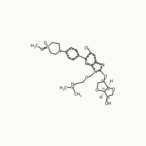 CN=S1(=O)CCN(c2ccc(-c3nc4c(cc3Cl)nc(O[C@@H]3CO[C@H]5[C@@H]3OC[C@H]5O)n4COCC[SiH](C)C)cc2)CC1